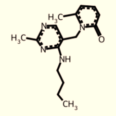 CCCCNc1nc(C)ncc1Cn1c(C)cccc1=O